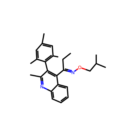 CCC(=NOCC(C)C)c1c(-c2c(C)cc(C)cc2C)c(C)nc2ccccc12